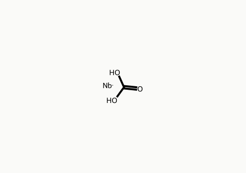 O=C(O)O.[Nb]